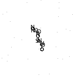 O=C(COc1cnccn1)N1CCC(c2nc(C3=NOC(c4ccccc4)C3)cs2)CC1